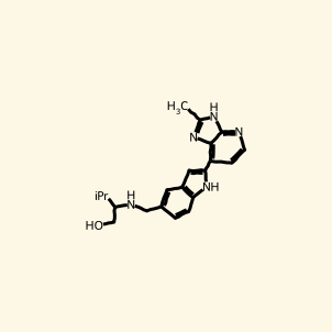 Cc1nc2c(-c3cc4cc(CNC(CO)C(C)C)ccc4[nH]3)ccnc2[nH]1